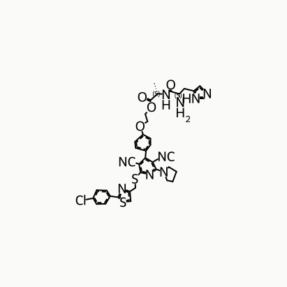 [C-]#[N+]c1c(N2CCCC2)nc(SCc2csc(-c3ccc(Cl)cc3)n2)c(C#N)c1-c1ccc(OCCOC(=O)[C@H](C)NC(=O)[C@@H](N)Cc2cnc[nH]2)cc1